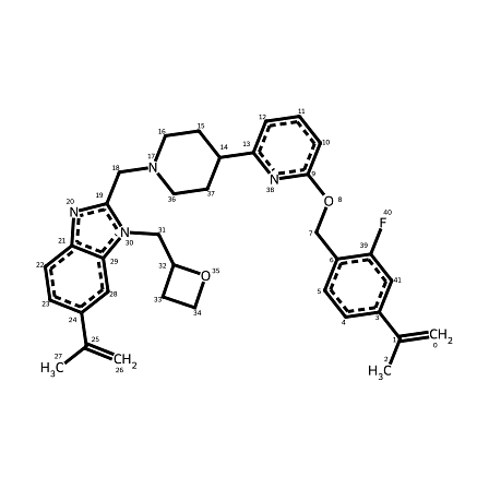 C=C(C)c1ccc(COc2cccc(C3CCN(Cc4nc5ccc(C(=C)C)cc5n4CC4CCO4)CC3)n2)c(F)c1